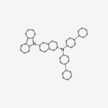 c1ccc(-c2ccc(N(c3ccc(-c4ccccc4)cc3)c3ccc4cc(-n5c6ccccc6c6ccccc65)ccc4c3)cc2)cc1